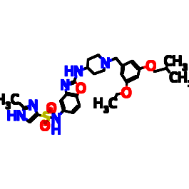 CCOc1cc(CN2CCC(Nc3nc4cc(NS(=O)(=O)c5c[nH]c(C)n5)ccc4o3)CC2)cc(OCC(C)C)c1